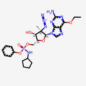 CCOc1nc(N)nc2c1ncn2[C@H]1O[C@H](COP(=O)(NC2CCCC2)Oc2ccccc2)[C@@H](O)[C@@]1(C)N=[N+]=[N-]